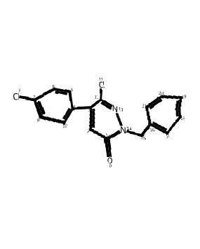 O=c1cc(-c2ccc(Cl)cc2)c(Cl)nn1Cc1ccccc1